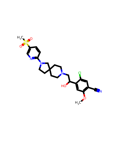 COc1cc(C(O)CN2CCC3(CC2)CCN(c2ccc(S(C)(=O)=O)cn2)C3)c(Cl)cc1C#N